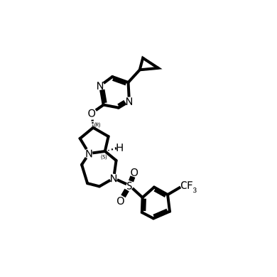 O=S(=O)(c1cccc(C(F)(F)F)c1)N1CCCN2C[C@H](Oc3cnc(C4CC4)cn3)C[C@H]2C1